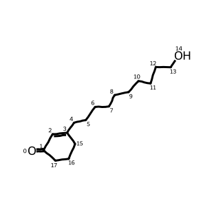 O=C1C=C(CCCCCCCCCCO)CCC1